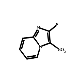 O=[N+]([O-])c1c(F)nc2ccccn12